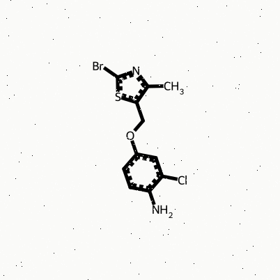 Cc1nc(Br)sc1COc1ccc(N)c(Cl)c1